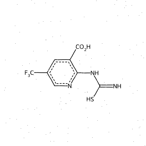 N=C(S)Nc1ncc(C(F)(F)F)cc1C(=O)O